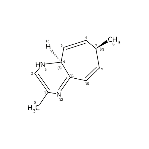 CC1=CN[C@H]2C=C[C@@H](C)C=CC2=N1